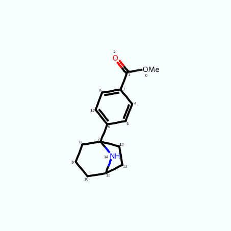 COC(=O)c1ccc(C23CCCC(CC2)N3)cc1